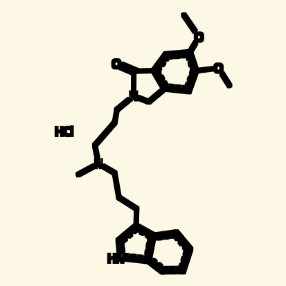 COc1cc2c(cc1OC)C(=O)N(CCCN(C)CCCc1c[nH]c3ccccc13)C2.Cl